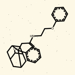 CC1C2CC3CC1CC(C2)C3(CC(=O)NCCOc1ccccc1)c1ccccc1